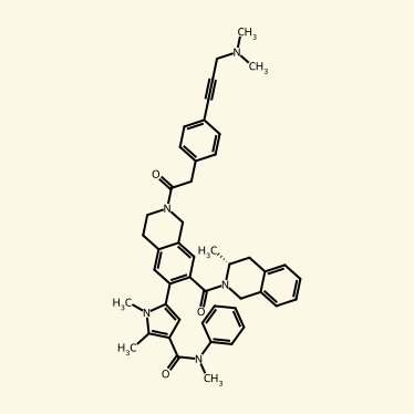 Cc1c(C(=O)N(C)c2ccccc2)cc(-c2cc3c(cc2C(=O)N2Cc4ccccc4C[C@H]2C)CN(C(=O)Cc2ccc(C#CCN(C)C)cc2)CC3)n1C